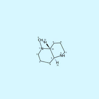 CN1CCC[C@@H]2NCCC[C@H]21